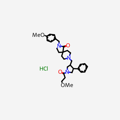 COCCC(=O)N1CC(CN2CCC3(CC2)CCN(Cc2ccc(OC)cc2)C3=O)C(c2ccccc2)C1.Cl